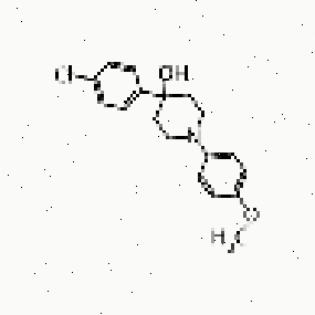 COc1ccc(N2CCC(O)(c3ccc(Cl)cc3)CC2)cc1